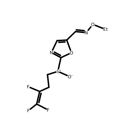 CCON=Cc1cnc([S+]([O-])CCC(F)=C(F)F)o1